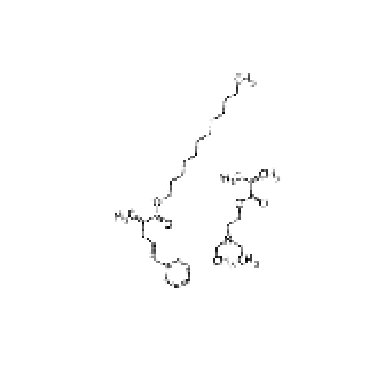 C=C(C)C(=O)OCCN(CC)CC.C=C(CC=Cc1ccccc1)C(=O)OCCCCCCCCCCCC